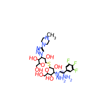 CN1CCN(c2cn(C3C(O)C(CO)OC(SC4OC(CO)C(O)C(N(N)/C=C(\N)c5cc(F)c(F)c(F)c5)C4O)C3O)nn2)CC1